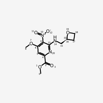 COC(=O)c1cc(OC)c([N+](=O)[O-])c(NC[C@@H]2CCO2)n1